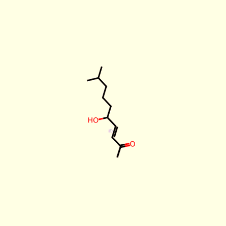 CC(=O)/C=C/C(O)CCCC(C)C